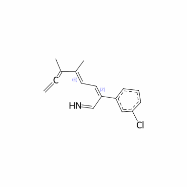 C=C=C(C)/C(C)=C/C=C(\C=N)c1cccc(Cl)c1